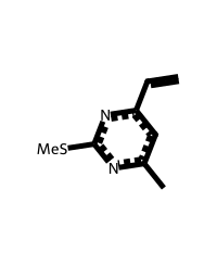 C=Cc1cc(C)nc(SC)n1